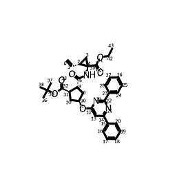 C=C[C@@H]1C[C@]1(NC(=O)[C@@H]1C[C@@H](Oc2cc(-c3ccccc3)nc(-c3ccccc3)n2)C[C@H]1C(=O)OC(C)(C)C)C(=O)OCC